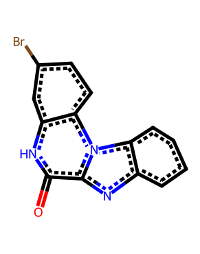 O=c1[nH]c2cc(Br)ccc2n2c1nc1ccccc12